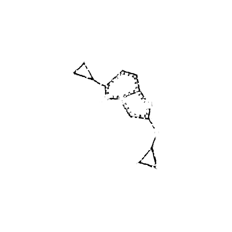 c1cc2nc(OC3CC3)cn2nc1C1CC1